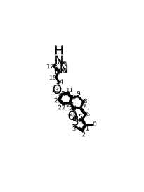 Cc1ccsc1/C=C1/CCc2cc(OCCc3c[nH]cn3)ccc2C1=O